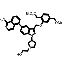 CCOC(=O)Cc1ccc(COC)cc1OCc1nn(C2CCN(CCO)C2)c2ccc(-c3cccc4c(N)nccc34)cc12